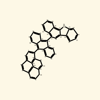 C1=Cc2ccc3ccc(-c4c5ccccc5c(-c5cc6c7ccccc7oc6c6ccccc56)c5ccccc45)c4c3c2C(=CC4)C1